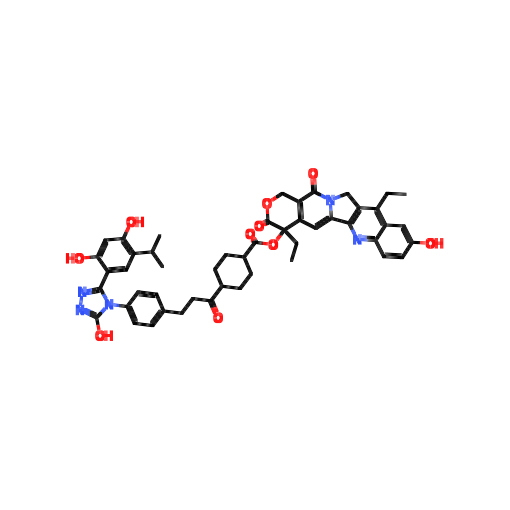 CCc1c2c(nc3ccc(O)cc13)-c1cc3c(c(=O)n1C2)COC(=O)C3(CC)OC(=O)C1CCC(C(=O)CCc2ccc(-n3c(O)nnc3-c3cc(C(C)C)c(O)cc3O)cc2)CC1